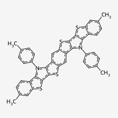 Cc1ccc(-n2c3c4ccc(C)cc4sc3c3sc4cc5c(cc4c32)sc2c3sc4cc(C)ccc4c3n(-c3ccc(C)cc3)c52)cc1